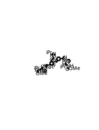 COC(=O)N[C@H](C(=O)N1CCC[C@H]1c1ncc(-c2cc(F)c3c(c2)OC(c2nc(C(C)C)ns2)n2c-3cc3cc(-c4cnc([C@@H]5CCCN5C(=O)[C@@H](NC(=O)OC)C(C)C)[nH]4)ccc32)[nH]1)C(C)C